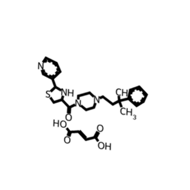 CC(C)(CCN1CCN(C(=O)C2CSC(c3cccnc3)N2)CC1)c1ccccc1.O=C(O)/C=C/C(=O)O